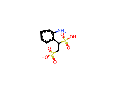 Nc1ccccc1C(CS(=O)(=O)O)S(=O)(=O)O